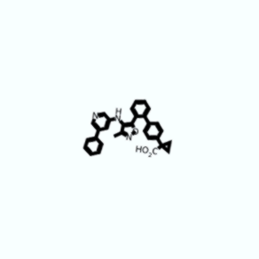 Cc1noc(-c2ccccc2-c2ccc(C3(C(=O)O)CC3)cc2)c1Nc1cncc(-c2ccccc2)c1